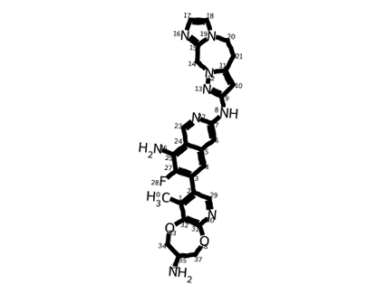 Cc1c(-c2cc3cc(Nc4cc5n(n4)Cc4nccn4CC5)ncc3c(N)c2F)cnc2c1OCC(N)CO2